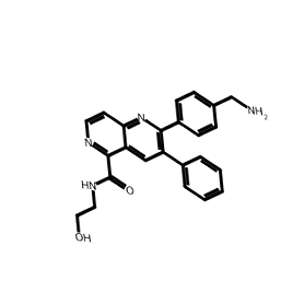 NCc1ccc(-c2nc3ccnc(C(=O)NCCO)c3cc2-c2ccccc2)cc1